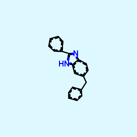 c1ccc(Cc2ccc3nc(-c4ccccc4)[nH]c3c2)cc1